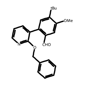 COc1cc(C=O)c(-c2cccnc2OCc2ccccc2)cc1C(C)(C)C